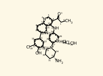 CCC(=O)c1cnc2ccc(-c3cc(F)c(O)c(Cl)c3)nc2c1Nc1ccc(N2CCC[C@@H](N)C2)nc1.Cl.Cl.Cl